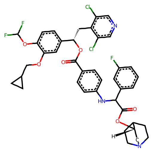 O=C(O[C@@H](Cc1c(Cl)cncc1Cl)c1ccc(OC(F)F)c(OCC2CC2)c1)c1ccc(NC(C(=O)O[C@H]2CN3CCC2CC3)c2cccc(F)c2)cc1